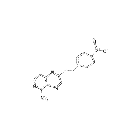 Nc1nccc2nc(CCc3ccc([N+](=O)[O-])cc3)cnc12